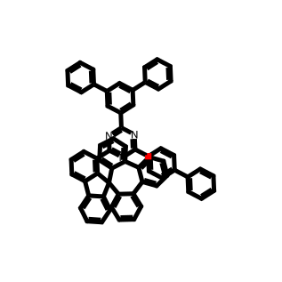 c1ccc(-c2ccc(-c3nc(-c4cc(-c5ccccc5)cc(-c5ccccc5)c4)nc(-c4cccc5c4C4(c6ccccc6-c6ccccc6-c6ccccc64)c4ccccc4-5)n3)cc2)cc1